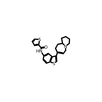 O=C(Nc1ccc2scc(C3=CCN4CCCCC4CC3)c2c1)c1cccs1